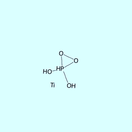 O[PH]1(O)OO1.[Ti]